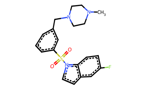 CN1CCN(Cc2cccc(S(=O)(=O)n3ccc4cc(F)ccc43)c2)CC1